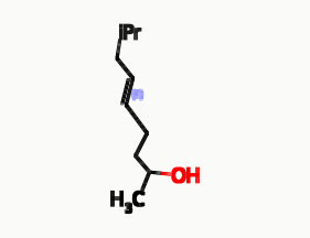 CC(C)C/C=C/CCC(C)O